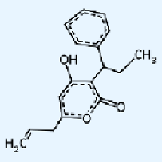 C=CCc1cc(O)c(C(CC)c2ccccc2)c(=O)o1